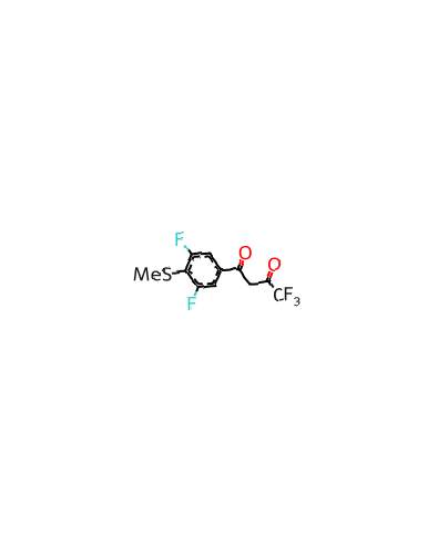 CSc1c(F)cc(C(=O)CC(=O)C(F)(F)F)cc1F